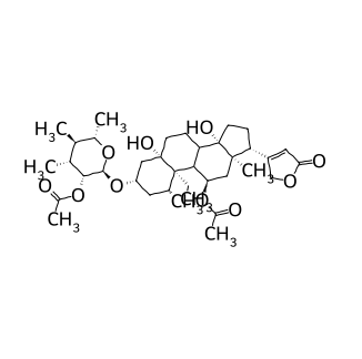 CC[C@@]12C3C(CC[C@]1(O)C[C@@H](O[C@@H]1O[C@@H](C)[C@H](C)[C@@H](C)[C@H]1OC(C)=O)C[C@H]2C)[C@@]1(O)CC[C@H](C2=CC(=O)OC2)[C@@]1(C)C[C@H]3OC(C)=O